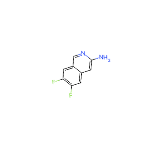 Nc1cc2cc(F)c(F)cc2cn1